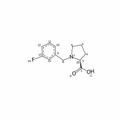 O=C(O)[C@@H]1CCCN1Cc1cccc(F)c1